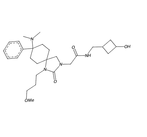 COCCCN1C(=O)N(CC(=O)NCC2CC(O)C2)CC12CCC(c1ccccc1)(N(C)C)CC2